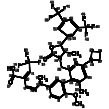 COc1ccc(N(C)/N=C\C(=C\C(F)(F)F)C(=O)O)cc1-c1c(C)cc(N2CCC2)nc1CN1C(=O)OC(c2cc(C(F)(F)F)cc(C(F)(F)F)c2)C1C